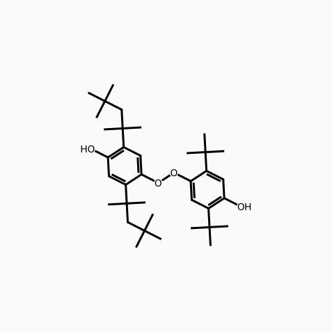 CC(C)(C)CC(C)(C)c1cc(OOc2cc(C(C)(C)C)c(O)cc2C(C)(C)C)c(C(C)(C)CC(C)(C)C)cc1O